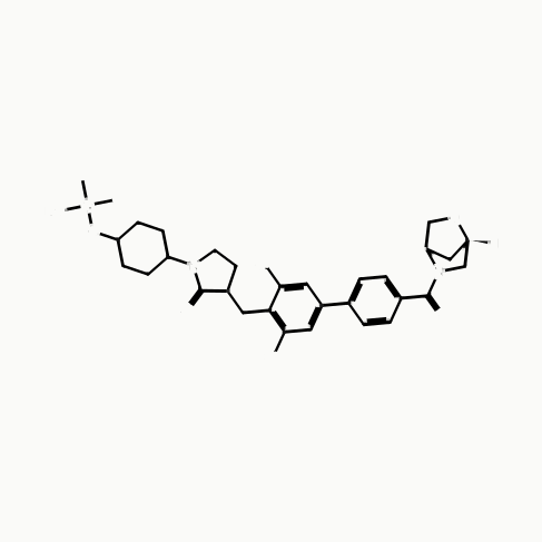 CC(C)(C)[Si](C)(C)OC1CCC(N2CCC(Cc3c(Cl)cc(-c4ccc(C(=O)N5C[C@@H]6CC5CO6)cc4)cc3Cl)C2=O)CC1